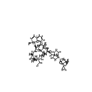 C#Cc1c(F)ccc2cccc(-c3nc4c5c(nc(OC[C@@]67CCCN6[C@H](COC(C6CC6)C(F)(F)F)CC7)nc5c3F)NC[C@@H](CC)N[C@H]3C[C@@H]3CC4)c12